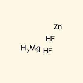 F.F.[MgH2].[Zn]